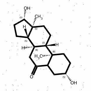 C[C@]12CC[C@H]3[C@@H](CC(=O)C4C[C@@H](O)CC[C@@]43C)[C@@H]1CC[C@@H]2O